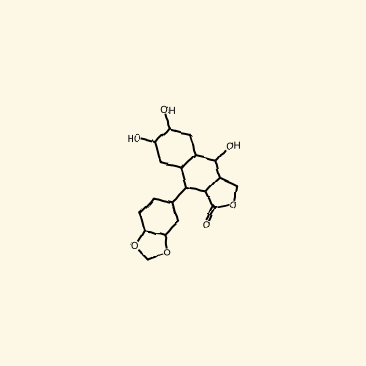 O=C1OCC2C(O)C3CC(O)C(O)CC3C(C3CCC4OCOC4C3)C12